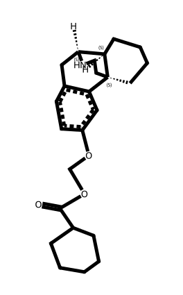 O=C(OCOc1ccc2c(c1)[C@]13CCCC[C@@H]1[C@H](C2)NCC3)C1CCCCC1